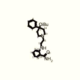 CC(C)COC1(c2ccccc2)CCN(CCNc2ccccc2C(N)=O)CC1